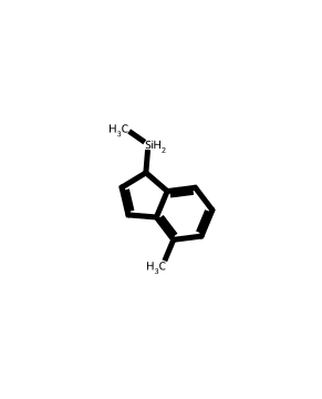 C[SiH2]C1C=Cc2c(C)cccc21